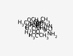 CC(C)OC(=O)C(C)(C)NP(=O)(CO[C@H](C)Cn1cnc2c(N)ccnc21)NC(C)(C)C(=O)OC(C)C